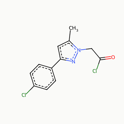 Cc1cc(-c2ccc(Cl)cc2)nn1CC(=O)Cl